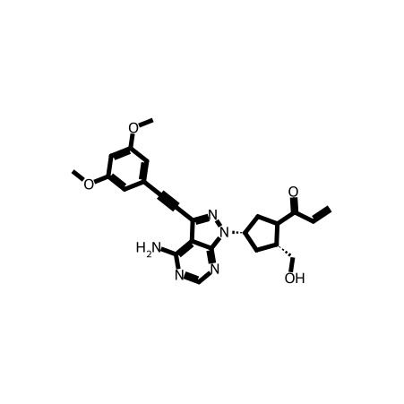 C=CC(=O)C1C[C@@H](n2nc(C#Cc3cc(OC)cc(OC)c3)c3c(N)ncnc32)C[C@H]1CO